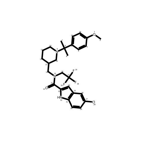 COc1ccc(C(C)(C)N2CCCC(CN(CC(F)(F)F)C(=O)c3cc4cc(Cl)ccc4[nH]3)C2)cc1